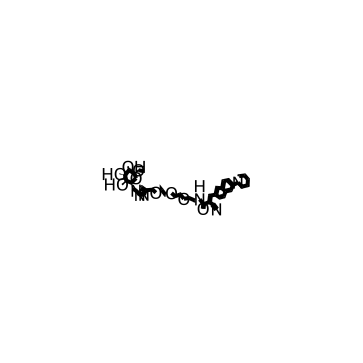 CO[C@H]1O[C@H](Cn2cc(COCCOCCOCCNC(=O)/C(C#N)=C/c3ccc4cc(N5CCCCC5)ccc4c3)nn2)[C@@H](O)[C@H](O)[C@H]1O